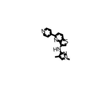 Cc1cn(C)nc1Nc1csc2ccc(-c3ccncc3)nc12